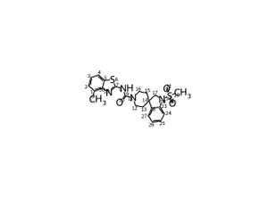 Cc1cccc2sc(NC(=O)N3CCC4(CC3)CN(S(C)(=O)=O)c3ccccc34)nc12